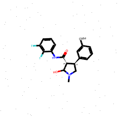 COc1cccc([C@H]2CN(C)C(O)[C@@H]2C(=O)Nc2cccc(F)c2F)c1